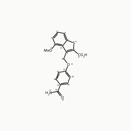 COc1cccc2sc(C(=O)O)c(COc3ccc(C(N)=O)cc3)c12